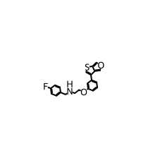 Fc1ccc(CNCCOc2cccc(-c3csc4cocc34)c2)cc1